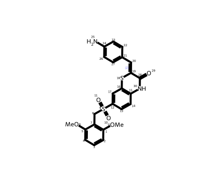 COc1cccc(OC)c1CS(=O)(=O)c1ccc2c(c1)S/C(=C\c1ccc(N)cc1)C(=O)N2